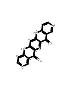 O=c1c2cnccc2[nH]c2cc3[nH]c4ccncc4c(=O)c3nc12